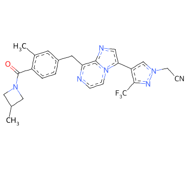 Cc1cc(Cc2nccn3c(-c4cn(CC#N)nc4C(F)(F)F)cnc23)ccc1C(=O)N1CC(C)C1